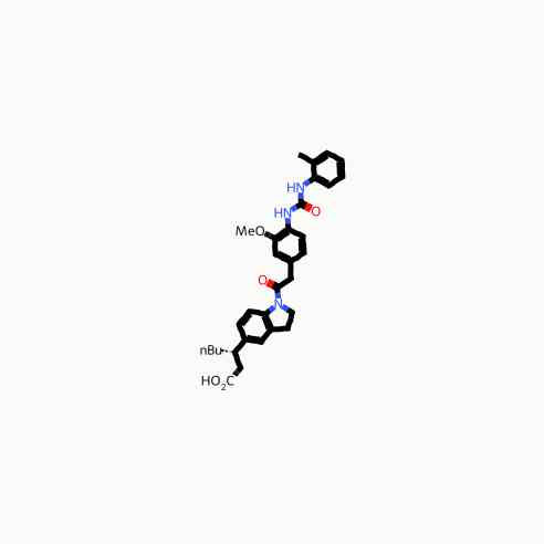 CCCC[C@@H](CC(=O)O)c1ccc2c(c1)CCN2C(=O)Cc1ccc(NC(=O)Nc2ccccc2C)c(OC)c1